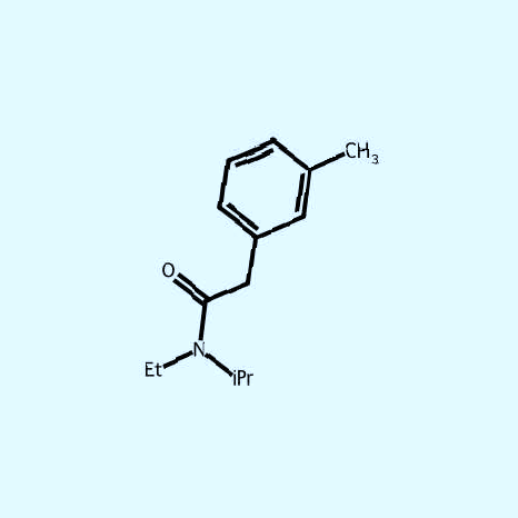 CCN(C(=O)Cc1cccc(C)c1)C(C)C